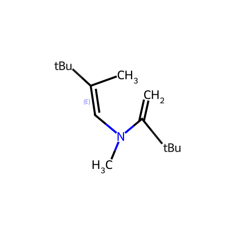 C=C(N(C)/C=C(\C)C(C)(C)C)C(C)(C)C